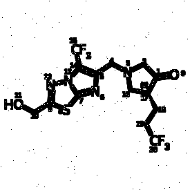 O=C1CN(Cc2nc3sc(CO)nn3c2C(F)(F)F)C[C@@H]1CCC(F)(F)F